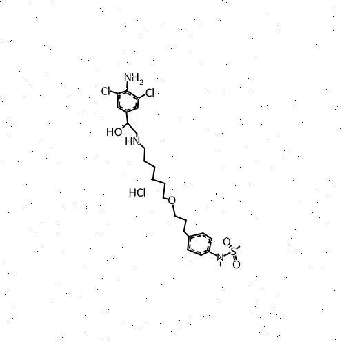 CN(c1ccc(CCCOCCCCCCNCC(O)c2cc(Cl)c(N)c(Cl)c2)cc1)S(C)(=O)=O.Cl